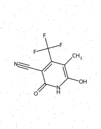 Cc1c(O)[nH]c(=O)c(C#N)c1C(F)(F)F